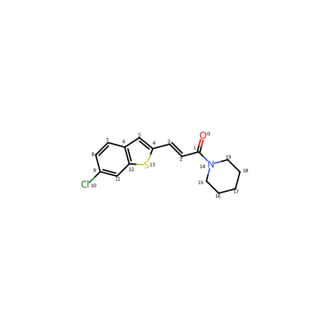 O=C(/C=C/c1cc2ccc(Cl)cc2s1)N1CCCCC1